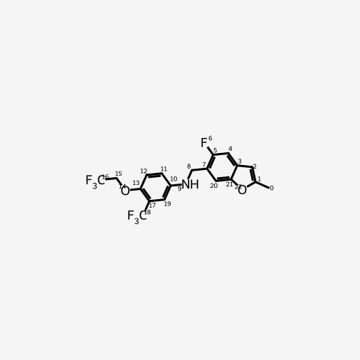 Cc1cc2cc(F)c(CNc3ccc(OCC(F)(F)F)c(C(F)(F)F)c3)cc2o1